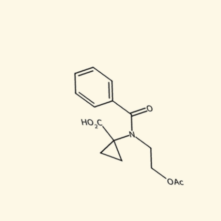 CC(=O)OCCN(C(=O)c1ccccc1)C1(C(=O)O)CC1